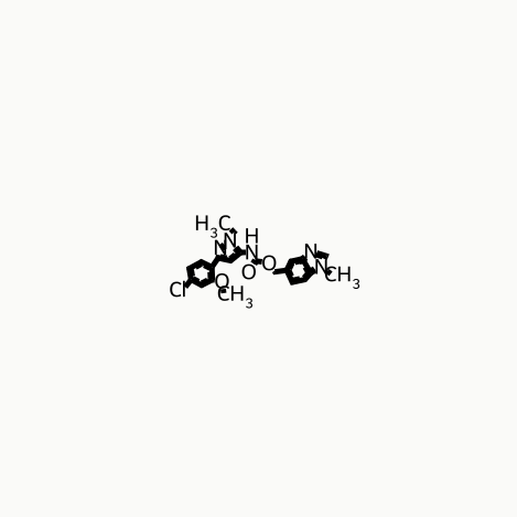 CCn1nc(-c2ccc(Cl)cc2OC)cc1NC(=O)OCc1ccc2c(c1)ncn2C